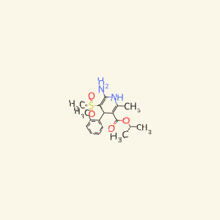 CC1=C(C(=O)OC(C)C)C(c2ccccc2C)C(S(C)(=O)=O)=C(N)N1